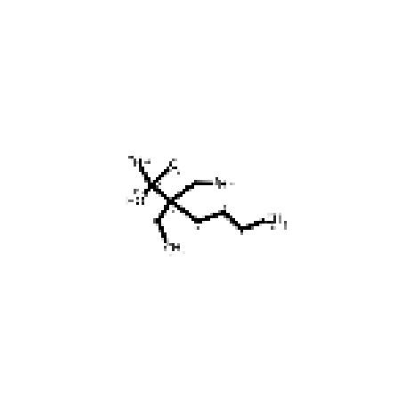 [2H]CC(CC)(CCCC)C([2H])(O)O